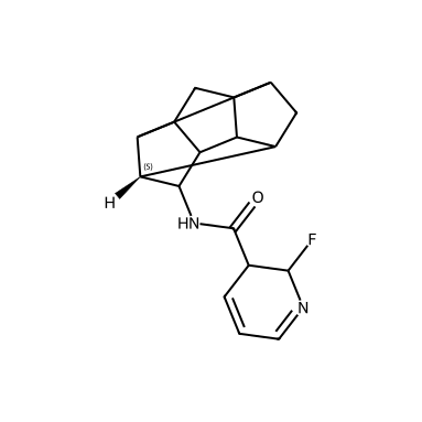 O=C(NC1C2C3CC4C5CC(C42)[C@H]1C53)C1C=CC=NC1F